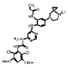 C=CC(=O)Nc1cc(N2CCN(CC)C3(CC3)C2)ccc1Nc1cc(N(C)C(=O)Nc2c(Cl)c(OC)cc(OC)c2Cl)ncn1